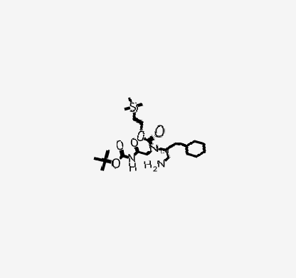 CC(C)(C)OC(=O)NC(=O)CN(C(=O)OCC[Si](C)(C)C)[C@H](CN)CC1CCCCC1